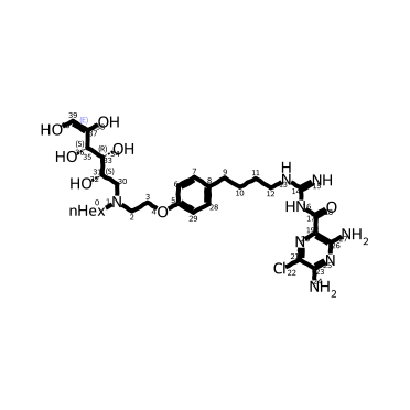 CCCCCCN(CCOc1ccc(CCCCNC(=N)NC(=O)c2nc(Cl)c(N)nc2N)cc1)C[C@H](O)[C@@H](O)[C@H](O)/C(O)=C\O